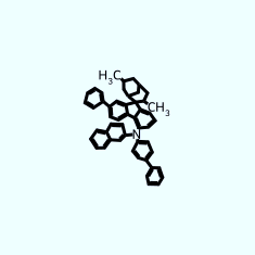 CC1CC2CC(C)C3(c4cc(-c5ccccc5)ccc4-c4c(N(c5ccc(-c6ccccc6)cc5)c5ccc6ccccc6c5)cccc43)C(C1)C2